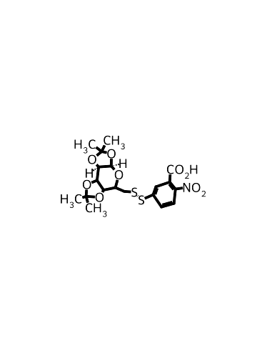 CC1(C)OC2C(CSSc3ccc([N+](=O)[O-])c(C(=O)O)c3)O[C@@H]3OC(C)(C)O[C@@H]3C2O1